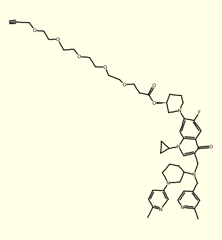 C#CCOCCOCCOCCOCCOCCC(=O)O[C@H]1CCCN(c2cc3c(cc2F)c(=O)c(CN(Cc2ccnc(C)c2)C2CCCN(c4ccc(C)nc4)C2)cn3C2CC2)C1